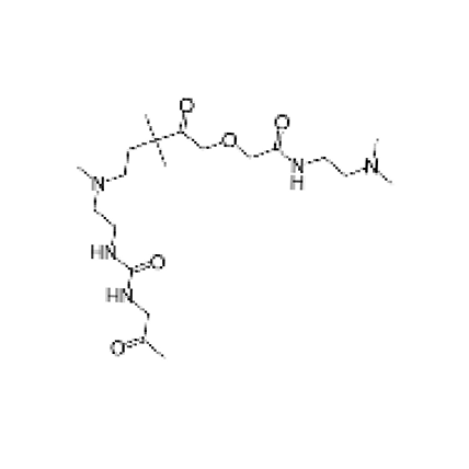 CC(=O)CNC(=O)NCCN(C)CCC(C)(C)C(=O)COCC(=O)NCCN(C)C